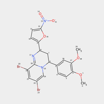 COc1ccc(C2CC(c3ccc([N+](=O)[O-])o3)N=C3C(Br)=CC(Br)=CN32)cc1OC